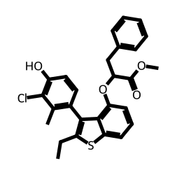 CCc1sc2cccc(OC(Cc3ccccc3)C(=O)OC)c2c1-c1ccc(O)c(Cl)c1C